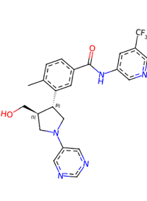 Cc1ccc(C(=O)Nc2cncc(C(F)(F)F)c2)cc1[C@@H]1CN(c2cncnc2)C[C@H]1CO